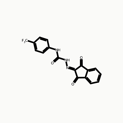 O=C(NN=c1c(=O)c2ccccc2c1=O)Nc1ccc(C(F)(F)F)cc1